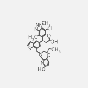 CC[C@@H]1CN(Cc2cc([C@H](CC(=O)O)c3cc(Cl)c4c(nnn4C)c3C)cc3ccsc23)Cc2nc(O)ccc2O1